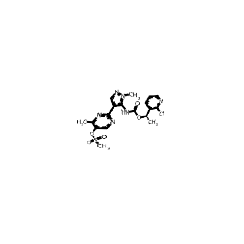 Cc1nc(-c2cnn(C)c2NC(=O)O[C@H](C)c2cccnc2Cl)ncc1OS(C)(=O)=O